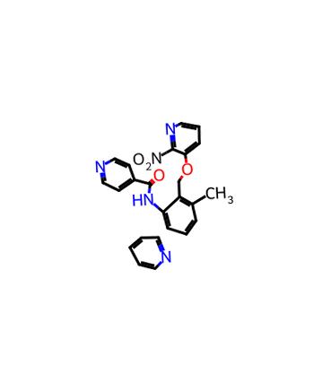 Cc1cccc(NC(=O)c2ccncc2)c1COc1cccnc1[N+](=O)[O-].c1ccncc1